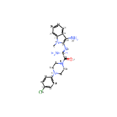 Cn1c(/N=C(\N)C(=O)N2CCN(c3ccc(Cl)cc3)CC2)c(N)c2ccccc21